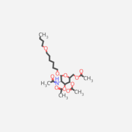 CCCCOCCCCCCO[C@@H]1OC(COC(C)=O)[C@H](OC(C)=O)C(OC(C)=O)[C@@H]1NC(C)=O